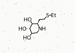 CCSCC[C@H]1NC[C@@H](O)[C@H](O)[C@H]1O